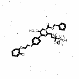 CC(C)(CCC1C=C(c2ccc(OCCOc3ccccc3Cl)cc2)C(C(=O)O)CN1C(=O)OCc1ccccc1)[Si](C)(C)O